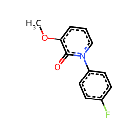 COc1cccn(-c2ccc(F)cc2)c1=O